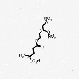 N[C@@H](CCC(=O)OCC[C@H](CO[N+](=O)[O-])O[N+](=O)[O-])C(=O)O